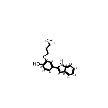 CCCCOc1cc(-c2cc3ccccc3[nH]2)ccc1O